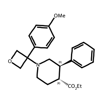 CCOC(=O)[C@@H]1CCN(C2(c3ccc(OC)cc3)COC2)C[C@H]1c1ccccc1